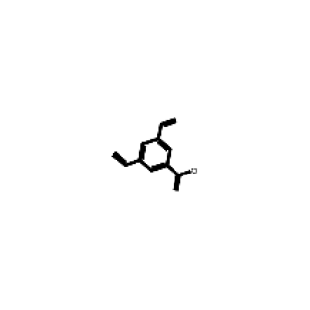 C=Cc1cc(C=C)cc(C(=C)Cl)c1